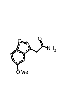 COc1ccc2onc(CC(N)=O)c2c1